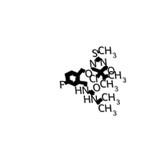 CSC1=NC(=O)C(Cl)(C(C)C)C(OCc2ccc(F)cc2CNC(=O)NC(C)C)=N1